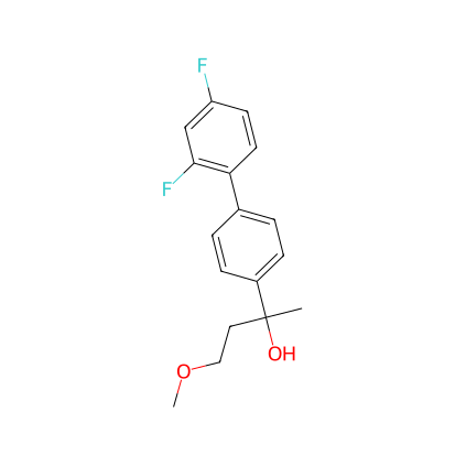 COCCC(C)(O)c1ccc(-c2ccc(F)cc2F)cc1